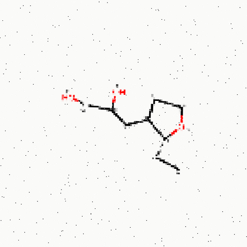 CC[C@H]1OCCC1CC(O)CO